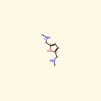 CNCc1ccc(CNC)o1